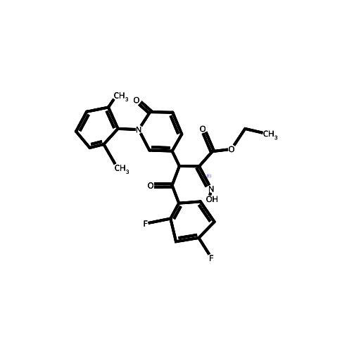 CCOC(=O)/C(=N/O)C(C(=O)c1ccc(F)cc1F)c1ccc(=O)n(-c2c(C)cccc2C)c1